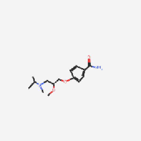 CO[C@H](COc1ccc(C(N)=O)cc1)CN(C)C(C)C